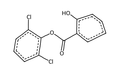 O=C(Oc1c(Cl)cccc1Cl)c1ccccc1O